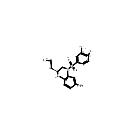 CCCc1ccc2c(c1)N(S(=O)(=O)c1ccc(F)c(C(F)(F)F)c1)C[C@H](CCC(C)=O)O2